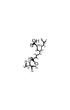 CC(=O)O[C@@H](OC(=O)NCCC[C@H](CCCC(C)C)CCC(=O)O)C(C)C